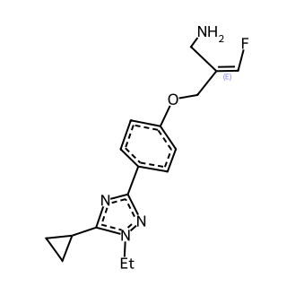 CCn1nc(-c2ccc(OC/C(=C/F)CN)cc2)nc1C1CC1